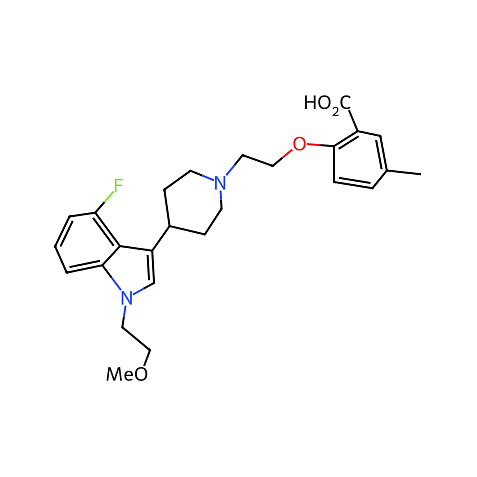 COCCn1cc(C2CCN(CCOc3ccc(C)cc3C(=O)O)CC2)c2c(F)cccc21